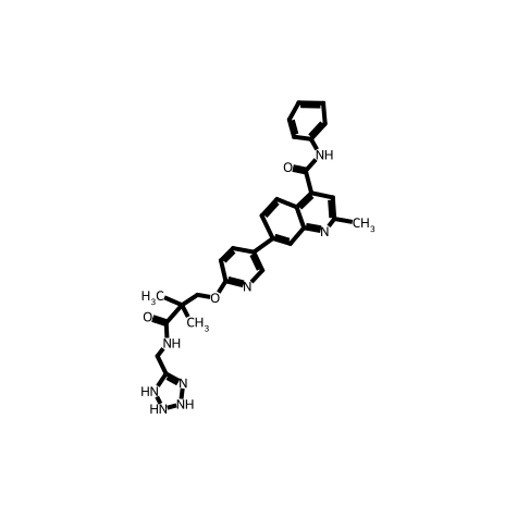 Cc1cc(C(=O)Nc2ccccc2)c2ccc(-c3ccc(OCC(C)(C)C(=O)NCC4=NNNN4)nc3)cc2n1